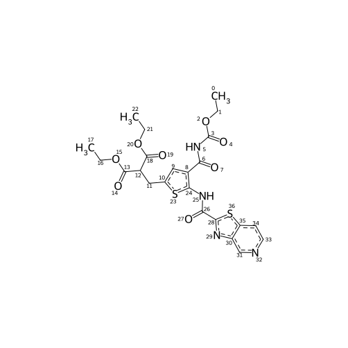 CCOC(=O)NC(=O)c1cc(CC(C(=O)OCC)C(=O)OCC)sc1NC(=O)c1nc2cnccc2s1